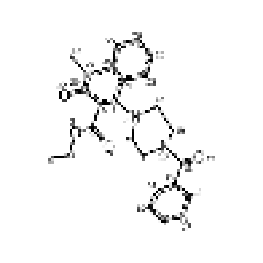 CCOC(=O)c1c(N2CCN(C(=O)c3cccnc3)CC2)c2ccccc2n(C)c1=O